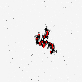 COc1cc2c(Nc3ccn(CC(=O)Nc4cccc(F)c4)n3)ncnc2cc1OCCCN1CCC[C@H]1COP(=O)(OC[C@@H]1CCCN1CCCOc1cc2ncnc(Nc3ccn(CC(=O)Nc4cccc(F)c4)n3)c2cc1OC)OC[C@@H]1CCCN1CCCOc1cc2ncnc(Nc3ccn(CC(=O)Nc4cccc(F)c4)n3)c2cc1OC